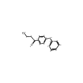 O=C(CCCl)c1ccc(Sc2ccccc2)cc1